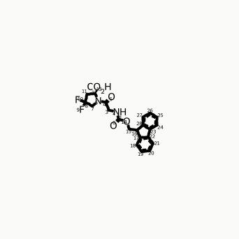 O=C(NCC(=O)N1CC(F)(F)C[C@H]1C(=O)O)OCC1c2ccccc2-c2ccccc21